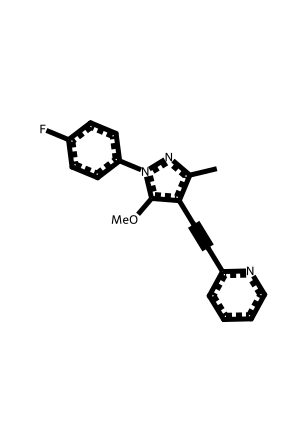 COc1c(C#Cc2ccccn2)c(C)nn1-c1ccc(F)cc1